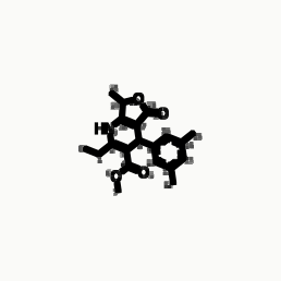 CCC1=C(C(=O)OC)C(c2cc(C)cc(C)c2)C2=C(N1)C(C)OC2=O